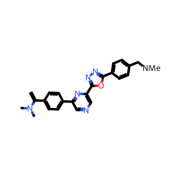 C=C(c1ccc(-c2cncc(-c3nnc(-c4ccc(CNC)cc4)o3)n2)cc1)N(C)C